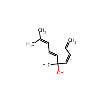 C=C/C=C\C(C)(O)C=CC=C(C)C